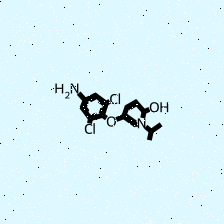 CC(C)N1C=C(Oc2c(Cl)cc(N)cc2Cl)C=CC1O